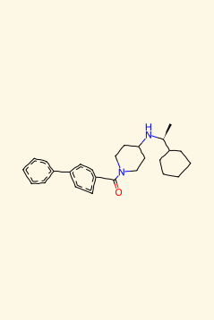 C[C@H](NC1CCN(C(=O)c2ccc(-c3ccccc3)cc2)CC1)C1CCCCC1